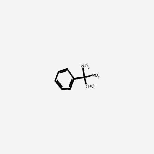 O=[C]C(c1ccccc1)([N+](=O)[O-])[N+](=O)[O-]